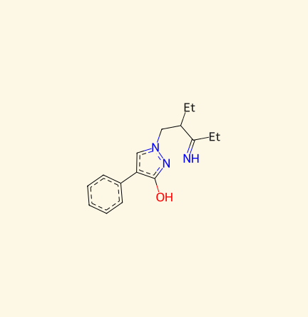 CCC(=N)C(CC)Cn1cc(-c2ccccc2)c(O)n1